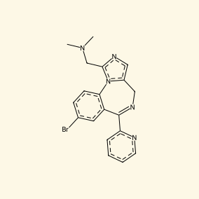 CN(C)Cc1ncc2n1-c1ccc(Br)cc1C(c1ccccn1)=NC2